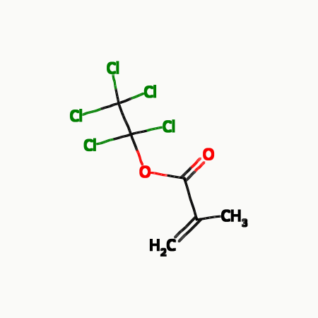 C=C(C)C(=O)OC(Cl)(Cl)C(Cl)(Cl)Cl